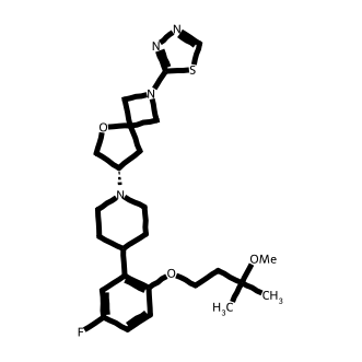 COC(C)(C)CCOc1ccc(F)cc1C1CCN([C@@H]2COC3(C2)CN(c2nncs2)C3)CC1